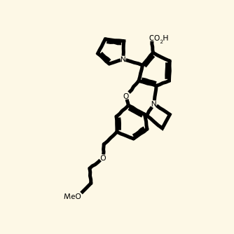 COCCOCc1cccc(Oc2c(N3CCC3)ccc(C(=O)O)c2-n2cccc2)c1